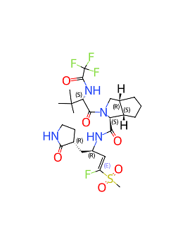 CC(C)(C)[C@H](NC(=O)C(F)(F)F)C(=O)N1C[C@@H]2CCC[C@@H]2[C@H]1C(=O)N[C@@H](/C=C(\F)S(C)(=O)=O)C[C@H]1CCNC1=O